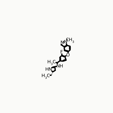 CC[C@H]1CC(NC(C)c2ccc(Oc3ccc4c(cnn4C)c3)c(F)c2)=CN1